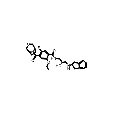 CCOc1cc(C(=O)N2C3CCC2COC3)c(F)cc1C(=O)NC[C@@H](O)CNC1Cc2ccccc2C1